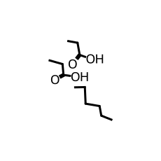 CCC(=O)O.CCC(=O)O.CCCCCC